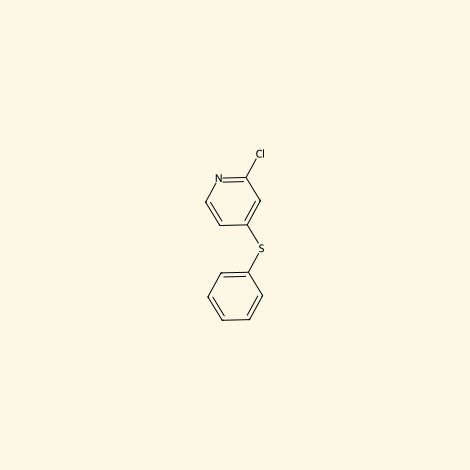 Clc1cc(Sc2ccccc2)ccn1